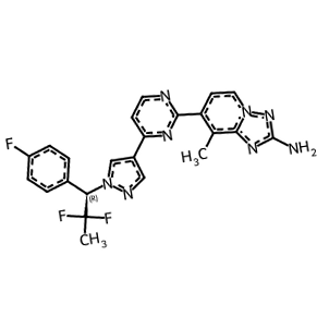 Cc1c(-c2nccc(-c3cnn([C@H](c4ccc(F)cc4)C(C)(F)F)c3)n2)ccn2nc(N)nc12